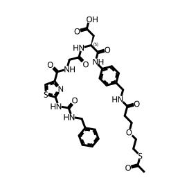 CC(=O)SCCOCCC(=O)NCc1ccc(NC(=O)[C@H](CC(=O)O)NC(=O)CNC(=O)c2csc(NC(=O)NCc3ccccc3)n2)cc1